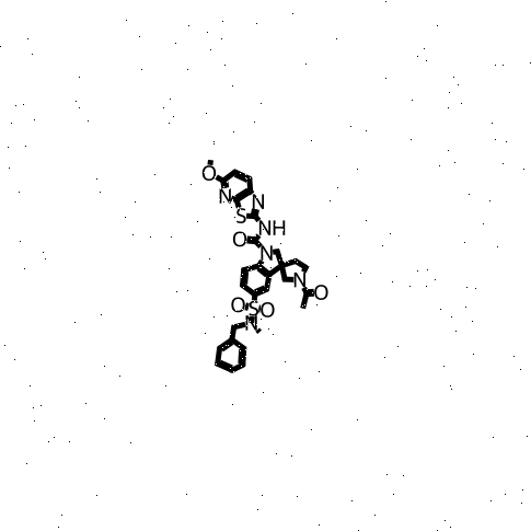 COc1ccc2nc(NC(=O)N3CC4(CCN(C(C)=O)C4)c4cc(S(=O)(=O)N(C)Cc5ccccc5)ccc43)sc2n1